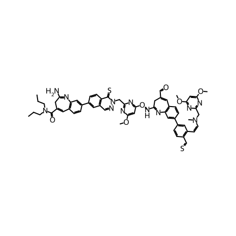 CCCN(CCC)C(=O)C1=Cc2ccc(-c3ccc4c(=S)n(Cc5nc(OC)cc(ONC6=Nc7cc(-c8ccc(C=S)c(/C=C\N(C)Cc9nc(OC)cc(OC)n9)c8)ccc7C=C(C=O)C6)n5)ncc4c3)cc2N=C(N)C1